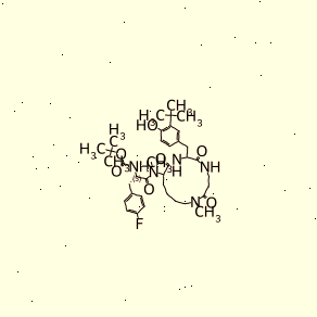 CN1CCCCC(N(C)C(=O)[C@H](Cc2ccc(F)cc2)NC(=O)OC(C)(C)C)C(=O)NC(Cc2ccc(O)c(C(C)(C)C)c2)C(=O)NCCC1=O